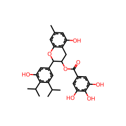 Cc1cc(O)c2c(c1)OC(c1cc(O)c(C(C)C)c(C(C)C)c1)C(OC(=O)c1cc(O)c(O)c(O)c1)C2